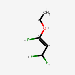 CCO/C(F)=C/C(F)F